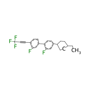 CCC1CCC(c2ccc(-c3ccc(C#CC(F)(F)F)c(F)c3)c(F)c2)CC1